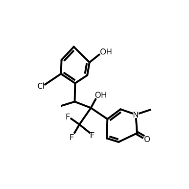 CC(c1cc(O)ccc1Cl)C(O)(c1ccc(=O)n(C)c1)C(F)(F)F